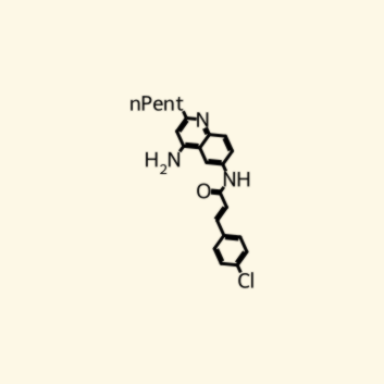 CCCCCc1cc(N)c2cc(NC(=O)C=Cc3ccc(Cl)cc3)ccc2n1